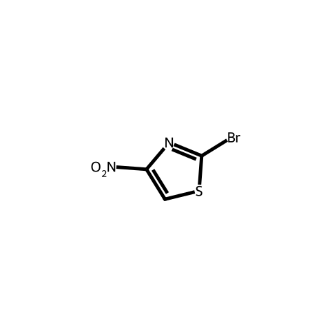 O=[N+]([O-])c1csc(Br)n1